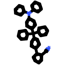 N#Cc1ccccc1-c1ccc(C(c2ccccc2)(c2ccccc2)c2ccc(N(c3ccccc3)c3ccccc3)cc2)cc1